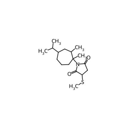 CSC1CC(=O)N(C2(C)CCCC(C(C)C)CC2C)C1=O